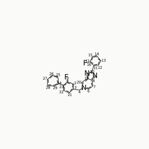 Fc1cc(Cn2ccc3nc(-c4ccccc4F)nc-3c2)ccc1-c1ccccc1